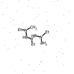 BN(BN(BN(C)CC)CC)CC